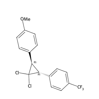 COc1ccc([C@H]2[C@H](c3ccc(C(F)(F)F)cc3)C2(Cl)Cl)cc1